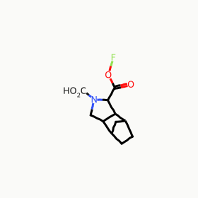 O=C(OF)C1C2C3CCC(C3)C2CN1C(=O)O